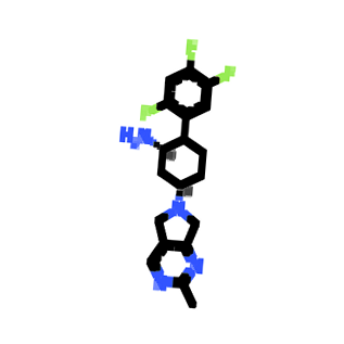 Cc1ncc2c(n1)CN([C@H]1CCC(c3cc(F)c(F)cc3F)[C@@H](N)C1)C2